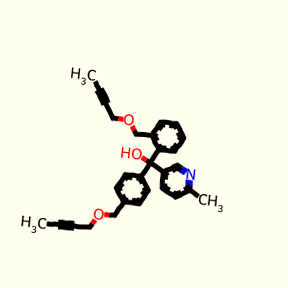 CC#CCOCc1ccc(C(O)(c2ccc(C)nc2)c2ccccc2COCC#CC)cc1